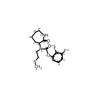 CSCCN(C(=O)Oc1cccc(F)c1F)C1CCCCNC1=O